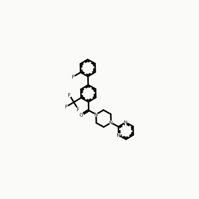 O=C(c1ccc(-c2ccccc2F)cc1C(F)(F)F)N1CCN(c2ncccn2)CC1